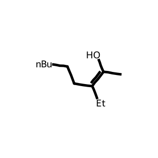 CCCCCCC(CC)=C(C)O